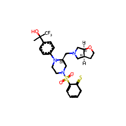 CC(O)(c1ccc(N2CCN(S(=O)(=O)C3=CC=CCC3=S)C[C@@H]2CN2C[C@@H]3CCO[C@@H]3C2)cc1)C(F)(F)F